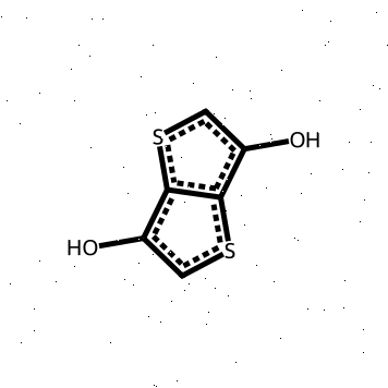 Oc1csc2c(O)csc12